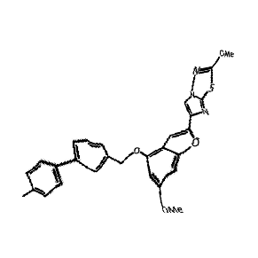 COc1cc(OCc2cccc(-c3ccc(C)cc3)c2)c2cc(-c3cn4nc(OC)sc4n3)oc2c1